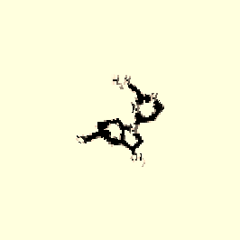 CC1CN(c2ccnc(N)n2)c2ccc(Cl)cc21